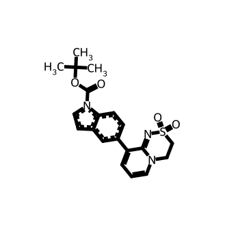 CC(C)(C)OC(=O)n1ccc2cc(C3=CC=CN4CCS(=O)(=O)N=C34)ccc21